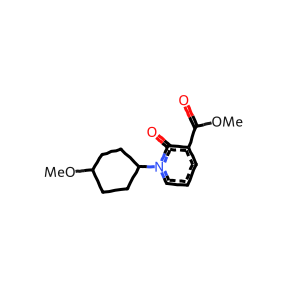 COC(=O)c1cccn(C2CCC(OC)CC2)c1=O